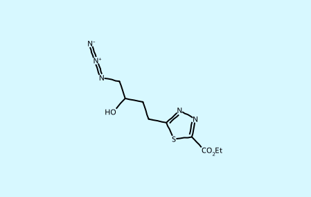 CCOC(=O)c1nnc(CCC(O)CN=[N+]=[N-])s1